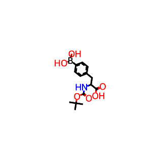 CC(C)(C)OC(=O)NC(Cc1ccc(B(O)O)cc1)C(=O)O